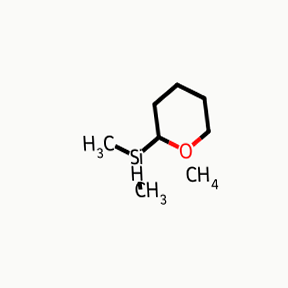 C.C[SiH](C)C1CCCCO1